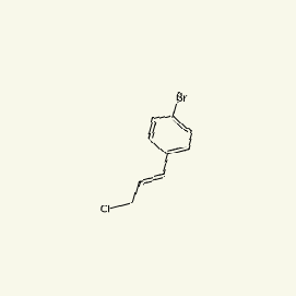 ClCC=Cc1ccc(Br)cc1